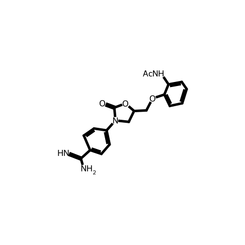 CC(=O)Nc1ccccc1OCC1CN(c2ccc(C(=N)N)cc2)C(=O)O1